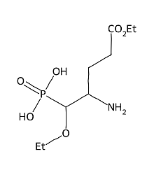 CCOC(=O)CCC(N)C(OCC)P(=O)(O)O